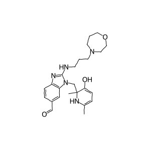 CC1=CC=C(O)C(C)(Cn2c(NCCCN3CCCOCC3)nc3ccc(C=O)cc32)N1